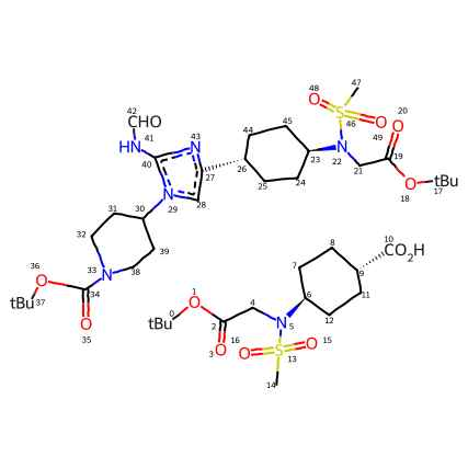 CC(C)(C)OC(=O)CN([C@H]1CC[C@H](C(=O)O)CC1)S(C)(=O)=O.CC(C)(C)OC(=O)CN([C@H]1CC[C@H](c2cn(C3CCN(C(=O)OC(C)(C)C)CC3)c(NC=O)n2)CC1)S(C)(=O)=O